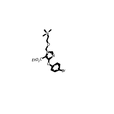 CCOC(=O)c1c(Oc2ccc(Br)cc2)ncn1COCC[Si](C)(C)C